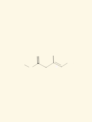 C/C=C(\C)[CH]C(=O)OC